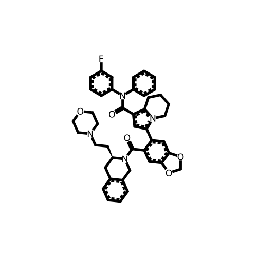 O=C(c1cc(-c2cc3c(cc2C(=O)N2Cc4ccccc4C[C@H]2CCN2CCOCC2)OCO3)n2c1CCCC2)N(c1ccccc1)c1cccc(F)c1